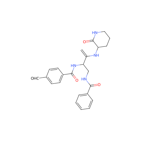 C=C(NC1CCCNC1=O)C(CNC(=O)c1ccccc1)NC(=O)c1ccc(C=O)cc1